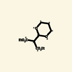 CCOC(=O)C(C(=O)OCC)C1OCCCO1